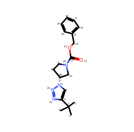 CC(C)(C)c1cn([C@@H]2CCN(C(=O)OCc3ccccc3)C2)nn1